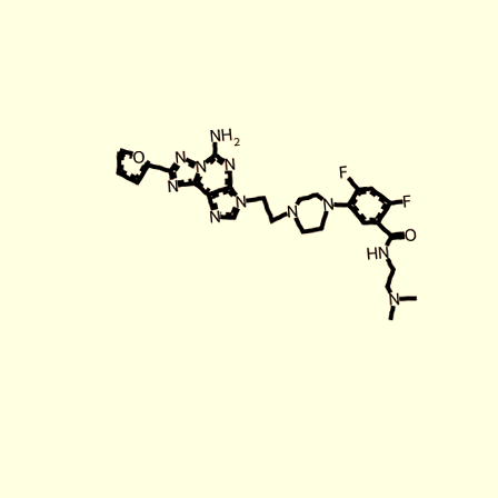 CN(C)CCNC(=O)c1cc(N2CCN(CCn3cnc4c3nc(N)n3nc(-c5ccco5)nc43)CC2)c(F)cc1F